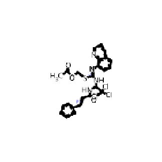 CC(=O)OCS/C(=N/c1cccc2cccnc12)NC(NC(=O)/C=C/c1ccccc1)C(Cl)(Cl)Cl